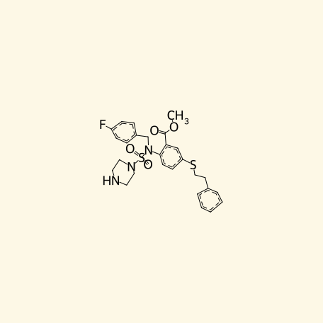 COC(=O)c1cc(SCCc2ccccc2)ccc1N(Cc1ccc(F)cc1)S(=O)(=O)N1CCNCC1